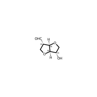 O=C[C@H]1CO[C@H]2[C@@H]1OC[C@@H]2O